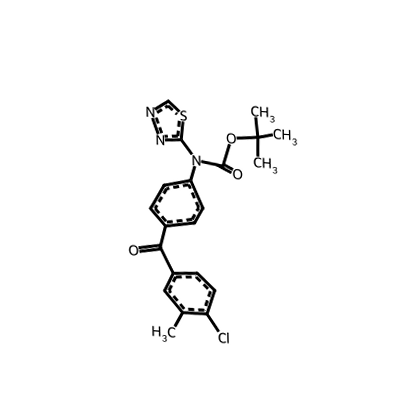 Cc1cc(C(=O)c2ccc(N(C(=O)OC(C)(C)C)c3nncs3)cc2)ccc1Cl